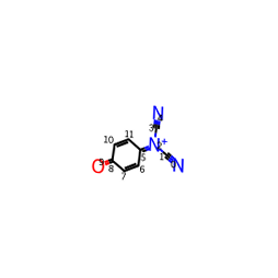 N#C[N+](C#N)=C1C=CC(=O)C=C1